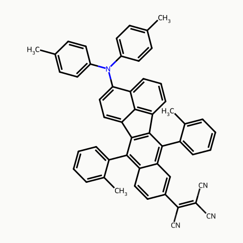 Cc1ccc(N(c2ccc(C)cc2)c2ccc3c4c(cccc24)-c2c-3c(-c3ccccc3C)c3ccc(C(C#N)=C(C#N)C#N)cc3c2-c2ccccc2C)cc1